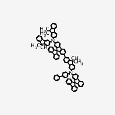 CC1(C)c2ccccc2-c2cc(N(c3ccc4c(c3)C(C)(C)c3ccccc3-4)c3ccc4c(c3)C3(c5ccccc5-c5ccccc53)c3cc(-c5ccc6c(c5)C(C)(C)c5ccc(N(c7ccc(-c8ccccc8)cc7)c7ccc8c(c7)C7(c9ccccc9-c9ccccc97)c7ccccc7-8)cc5-6)ccc3-4)ccc21